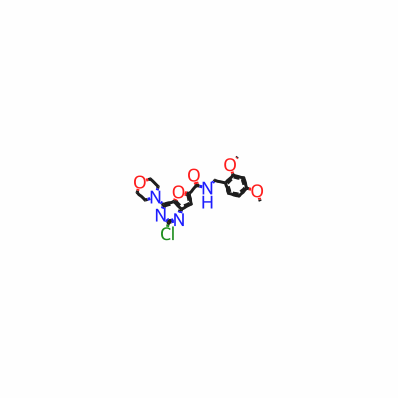 COc1ccc(CNC(=O)c2cc3nc(Cl)nc(N4CCOCC4)c3o2)c(OC)c1